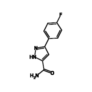 NC(=O)c1cc(-c2ccc(F)cc2)n[nH]1